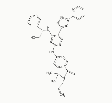 C=CCN1C(=O)c2ccc(Nc3ncc(-c4nnc(-c5ccccn5)o4)c(N[C@H](CO)c4ccccc4)n3)cc2C1(C)C